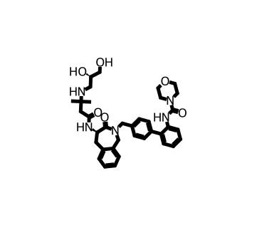 CC(C)(CC(=O)N[C@@H]1Cc2ccccc2CN(Cc2ccc(-c3ccccc3NC(=O)N3CCOCC3)cc2)C1=O)NC[C@H](O)CO